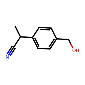 CC(C#N)c1ccc(CO)cc1